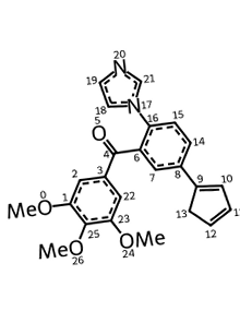 COc1cc(C(=O)c2cc(C3=CC=CC3)ccc2-n2ccnc2)cc(OC)c1OC